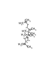 CN(C)CCN(C)C(C)(C)C(C)(C)N1CC(N(C)C)C1